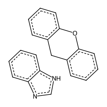 c1ccc2[nH]cnc2c1.c1ccc2c(c1)Cc1ccccc1O2